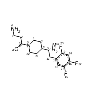 NCCC(=O)N1CCC([C@H](N)Cc2cc(F)c(F)cc2F)CC1